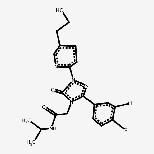 CC(C)NC(=O)Cn1c(-c2ccc(F)c(Cl)c2)nn(-c2ccc(CCO)cn2)c1=O